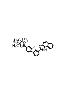 CC1(C)OB(c2ccc3c(c2)sc2c(C4Nc5c(ccc6ccccc56)O4)cccc23)OC1(C)C